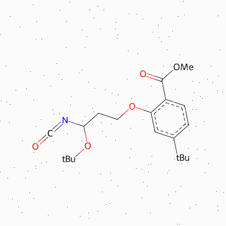 COC(=O)c1ccc(C(C)(C)C)cc1OCCC(N=C=O)OC(C)(C)C